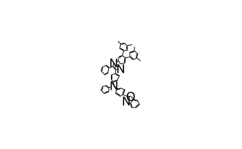 Cc1cc(C)cc(-c2cc3nc(-c4ccccc4)c(-c4ccc(N(c5ccccc5)c5ccc(-c6nc7ccccc7o6)cc5)cc4)nc3cc2-c2cc(C)cc(C)c2)c1